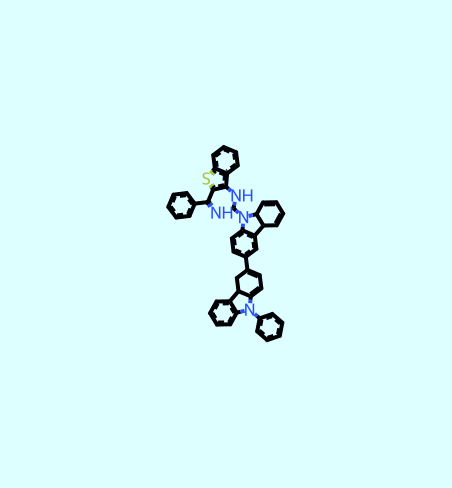 N=C(c1ccccc1)c1sc2ccccc2c1NCN1c2ccc(C3=CC=C4C(C3)c3ccccc3N4c3ccccc3)cc2C2C=CC=CC21